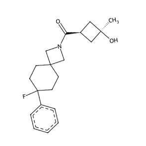 C[C@]1(O)C[C@@H](C(=O)N2CC3(CCC(F)(c4ccccc4)CC3)C2)C1